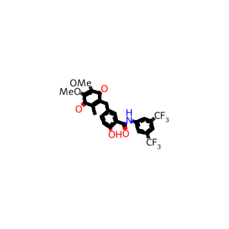 COC1=C(OC)C(=O)C(Cc2ccc(O)c(C(=O)Nc3cc(C(F)(F)F)cc(C(F)(F)F)c3)c2)=C(C)C1=O